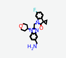 NCc1ccc2c(c1)nc(CN1C(=O)C3(CC3)c3ccc(F)cc31)n2C1CCOCC1